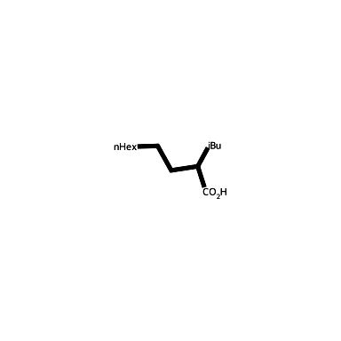 CCCCCCCCC(C(=O)O)C(C)CC